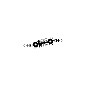 O=Cc1ccc(C(F)(F)C(F)(F)C(F)(F)C(F)(F)c2ccc(C=O)cc2)cc1